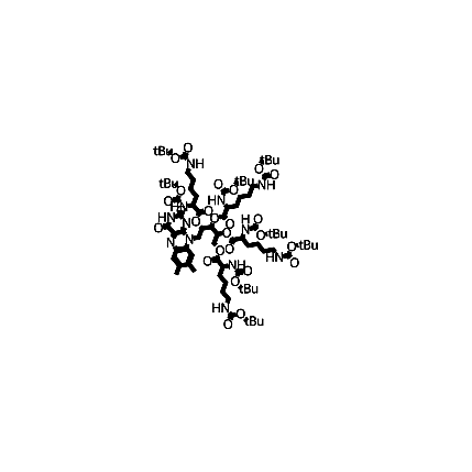 Cc1cc2nc3c(=O)[nH]c(=O)nc-3n(CC(OC(=O)C(CCCCNC(=O)OC(C)(C)C)NC(=O)OC(C)(C)C)C(OC(=O)C(CCCCNC(=O)OC(C)(C)C)NC(=O)OC(C)(C)C)C(COC(=O)C(CCCCNC(=O)OC(C)(C)C)NC(=O)OC(C)(C)C)OC(=O)C(CCCCNC(=O)OC(C)(C)C)NC(=O)OC(C)(C)C)c2cc1C